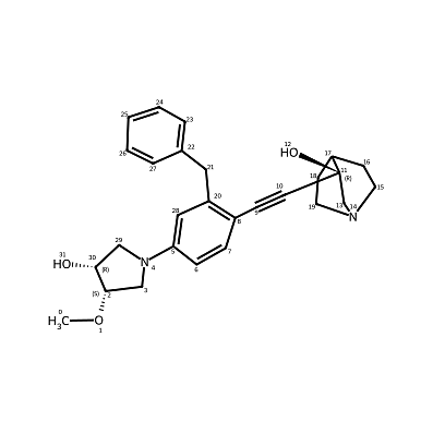 CO[C@H]1CN(c2ccc(C#C[C@@]3(O)CN4CCC3CC4)c(Cc3ccccc3)c2)C[C@H]1O